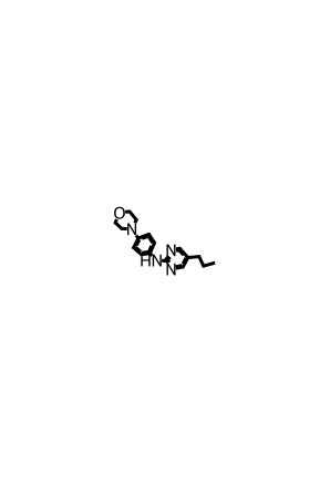 CCCc1cnc(Nc2ccc(N3CCOCC3)cc2)nc1